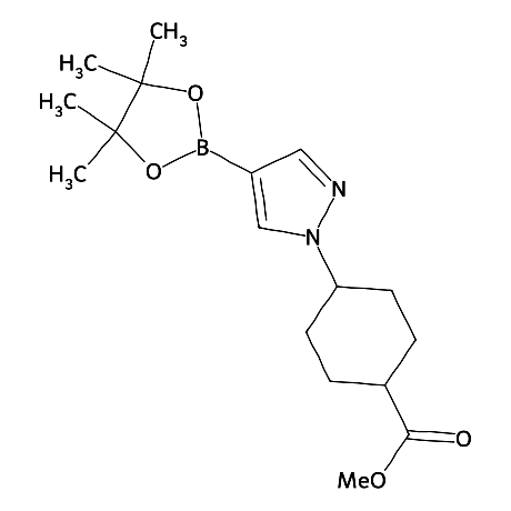 COC(=O)C1CCC(n2cc(B3OC(C)(C)C(C)(C)O3)cn2)CC1